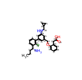 CCC[C@@H](N)c1cccc(-c2cc(COc3ccccc3CC(=O)O)cc(NCC3CC3)c2)c1F